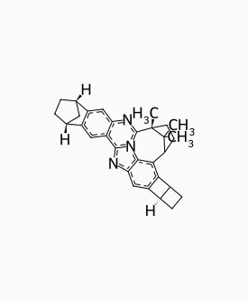 CC1(C)C2CC[C@@]1(C)c1nc3cc4c(cc3c3nc5cc6c(c2c5n13)C1CC[C@@H]61)[C@@H]1CC[C@H]4C1